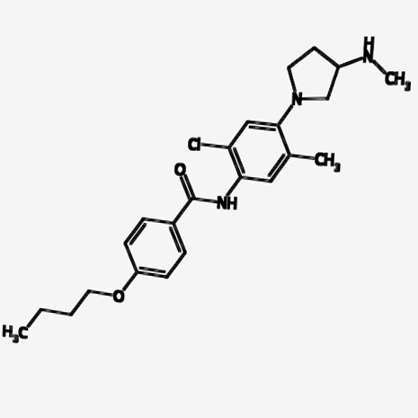 CCCCOc1ccc(C(=O)Nc2cc(C)c(N3CCC(NC)C3)cc2Cl)cc1